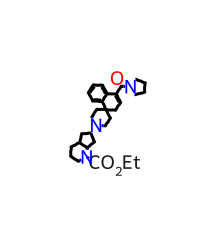 CCOC(=O)N1CCCC2CC(N3CCC4(CC=C(C(=O)N5CCCC5)c5ccccc54)CC3)CC21